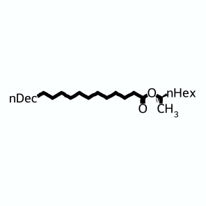 CCCCCCCCCCCCCCCCCCCCCC(=O)O[C@H](C)CCCCCC